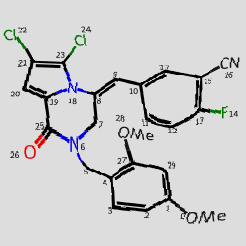 COc1ccc(CN2CC(=Cc3ccc(F)c(C#N)c3)n3c(cc(Cl)c3Cl)C2=O)c(OC)c1